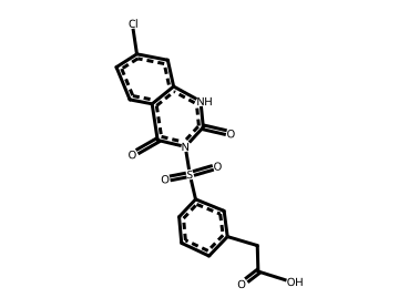 O=C(O)Cc1cccc(S(=O)(=O)n2c(=O)[nH]c3cc(Cl)ccc3c2=O)c1